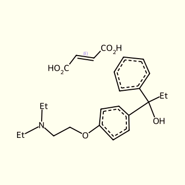 CCN(CC)CCOc1ccc(C(O)(CC)c2ccccc2)cc1.O=C(O)/C=C/C(=O)O